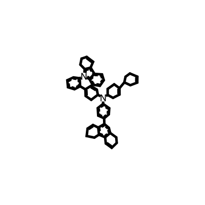 C1=Cc2c(cc(-c3ccc(N(C4C=CC(c5ccccc5-n5c6c(c7ccccc75)C=CCC6)=CC4)C4CC=C(C5CC=CCC5)CC4)cc3)c3c2CCC=C3)CC1